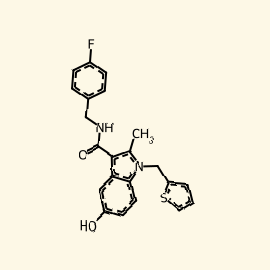 Cc1c(C(=O)NCc2ccc(F)cc2)c2cc(O)ccc2n1Cc1cccs1